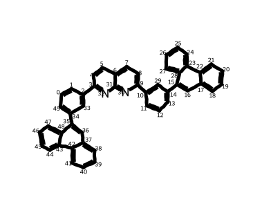 c1cc(-c2ccc3ccc(-c4cccc(-c5cc6ccccc6c6ccccc56)c4)nc3n2)cc(-c2cc3ccccc3c3ccccc23)c1